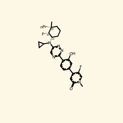 CCC[C@]1(C)CCC[C@H](N(c2cnc(-c3ccc(-c4cc(=O)n(C)cc4F)cc3O)nn2)C2CC2)[C@@H]1F